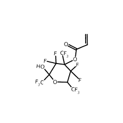 C=CC(=O)OC1(C(F)(F)F)C(F)(F)C(C(F)(F)F)OC(O)(C(F)(F)F)C1(F)F